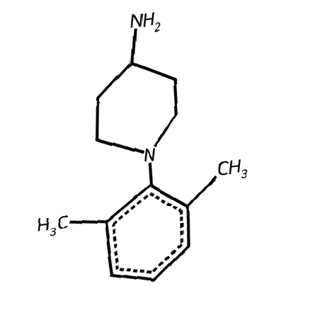 Cc1cccc(C)c1N1CCC(N)CC1